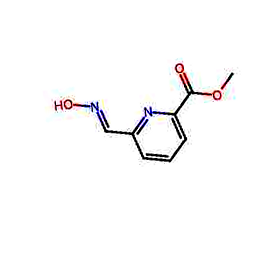 COC(=O)c1cccc(C=NO)n1